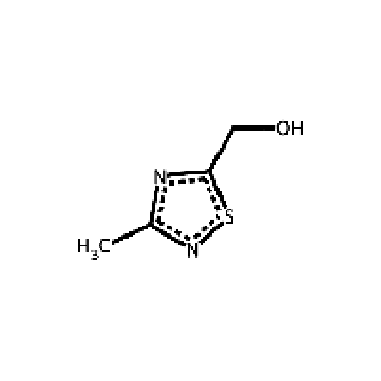 Cc1nsc(CO)n1